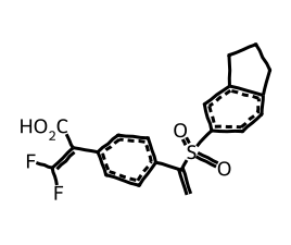 C=C(c1ccc(C(C(=O)O)=C(F)F)cc1)S(=O)(=O)c1ccc2c(c1)CCC2